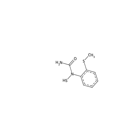 CSc1ccccc1N(S)C(N)=O